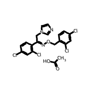 CC(=O)O.Clc1ccc(CON=C(Cn2ccnc2)c2ccc(Cl)cc2Cl)c(Cl)c1